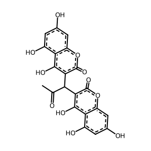 CC(=O)C(c1c(O)c2c(O)cc(O)cc2oc1=O)c1c(O)c2c(O)cc(O)cc2oc1=O